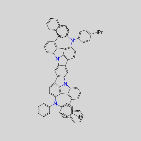 CC(C)c1ccc(N(c2ccccc2)c2ccc3c4cc5c(cc4n4c6cccc(-c7cccc8ccccc78)c6c2c34)c2ccc(N(c3ccccc3)c3ccc(C(C)C)cc3)c3c4c(-c6cccc7ccccc67)cccc4n5c23)cc1